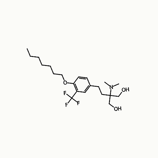 CCCCCCCOc1ccc(CCC(CO)(CO)N(C)C)cc1C(F)(F)F